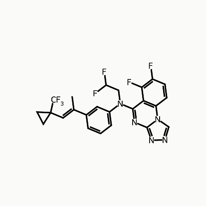 C/C(=C\C1(C(F)(F)F)CC1)c1cccc(N(CC(F)F)c2nc3nncn3c3ccc(F)c(F)c23)c1